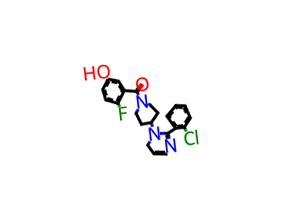 O=C(c1cc(O)ccc1F)N1CCC(N2CC=CN=C2c2ccccc2Cl)CC1